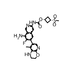 Cc1c(-c2cc3cc(NC(=O)O[C@H]4C[C@@H](S(C)(=O)=O)C4)ncc3c(N)c2F)cnc2c1NCCO2